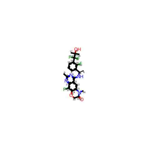 Cc1nc(N[C@H](C)c2cccc(C(F)(F)C(C)(C)O)c2F)c2cc3c(c(F)c2n1)OCC(=O)N3C